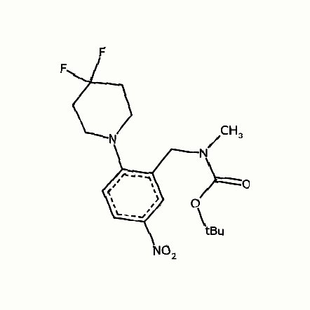 CN(Cc1cc([N+](=O)[O-])ccc1N1CCC(F)(F)CC1)C(=O)OC(C)(C)C